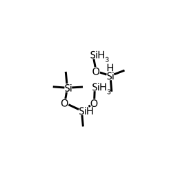 C[SiH](C)O[SiH3].C[SiH](O[SiH3])O[Si](C)(C)C